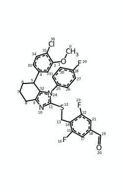 COc1cc(C2CCCc3nc(SCc4c(F)cc(C=O)cc4F)n(-c4ccc(F)cc4)c32)ccc1Cl